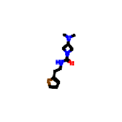 CN(C)C1CN(C(=O)NCCc2cccs2)C1